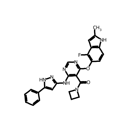 Cc1cc2c(F)c(Oc3ncnc(Nc4cc(-c5ccccc5)[nH]n4)c3C(=O)N3CCC3)ccc2[nH]1